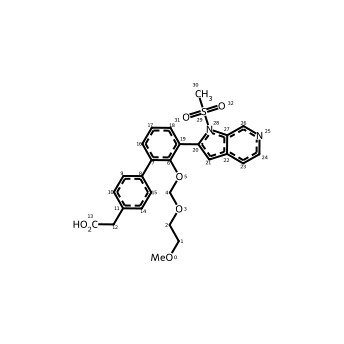 COCCOCOc1c(-c2ccc(CC(=O)O)cc2)cccc1-c1cc2ccncc2n1S(C)(=O)=O